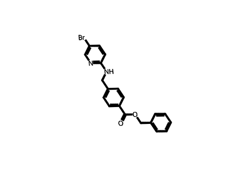 O=C(OCc1ccccc1)c1ccc(CNc2ccc(Br)cn2)cc1